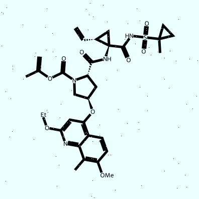 C=C[C@@H]1C[C@]1(NC(=O)[C@@H]1C[C@@H](Oc2cc(OCC)nc3c(C)c(OC)ccc23)CN1C(=O)OC(=C)C)C(=O)NS(=O)(=O)C1(C)CC1